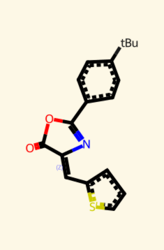 CC(C)(C)c1ccc(C2=N/C(=C\c3cccs3)C(=O)O2)cc1